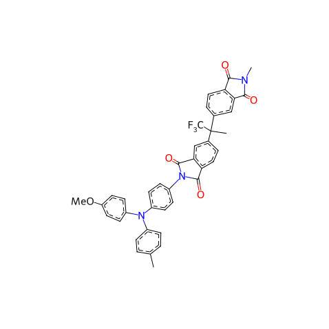 COc1ccc(N(c2ccc(C)cc2)c2ccc(N3C(=O)c4ccc(C(C)(c5ccc6c(c5)C(=O)N(C)C6=O)C(F)(F)F)cc4C3=O)cc2)cc1